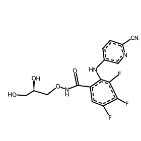 N#Cc1ccc(Nc2c(C(=O)NOC[C@H](O)CO)cc(F)c(F)c2F)cn1